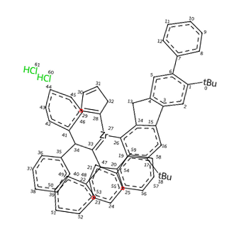 CC(C)(C)c1cc2c(cc1-c1ccccc1)Cc1c-2cc(C(C)(C)C)c(-c2ccccc2)[c]1[Zr]([C]1=CC=CC1)=[C](C(c1ccccc1)c1ccccc1)C(c1ccccc1)c1ccccc1.Cl.Cl